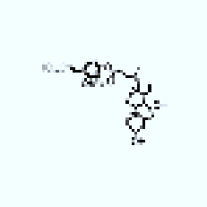 COc1cc(/C=C/C(=O)O)ccc1OC(=O)CC[C@@H](C)[C@H]1CCC2C3C(CCC21C)C1(C)CC[C@@H](O)CC1C[C@H]3O